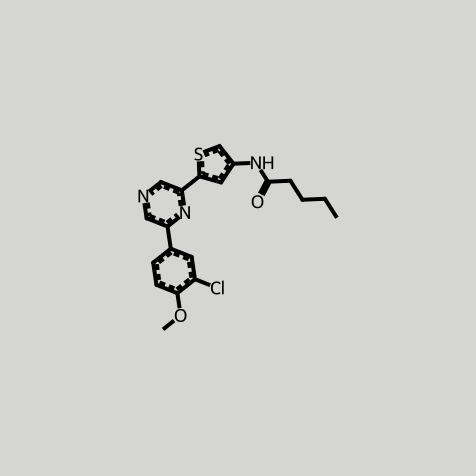 CCCCC(=O)Nc1csc(-c2cncc(-c3ccc(OC)c(Cl)c3)n2)c1